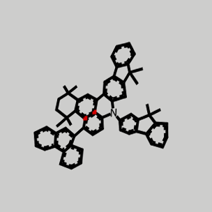 CC1(C)CCC(C)(C)c2cc(-c3cc4c(cc3N(c3ccc(-c5cc6ccccc6c6ccccc56)cc3)c3ccc5c(c3)C(C)(C)c3ccccc3-5)C(C)(C)c3ccccc3-4)ccc21